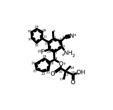 Cc1c(C#N)c(N)c(C(OC(=O)C(C)(C)C(=O)O)c2ccccc2)c(F)c1-c1ccccc1